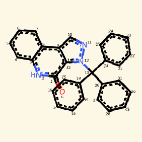 O=c1[nH]c2ccccc2c2cnn(C(c3ccccc3)(c3ccccc3)c3ccccc3)c12